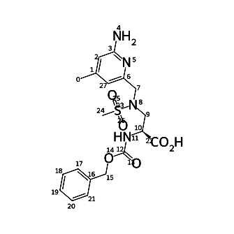 Cc1cc(N)nc(CN(C[C@H](NC(=O)OCc2ccccc2)C(=O)O)S(C)(=O)=O)c1